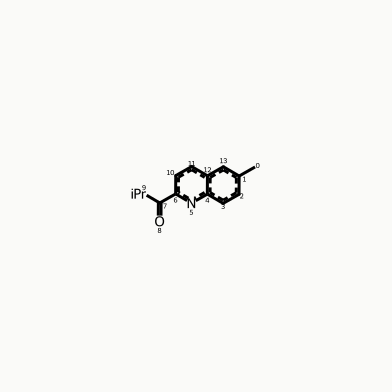 Cc1ccc2nc(C(=O)C(C)C)ccc2c1